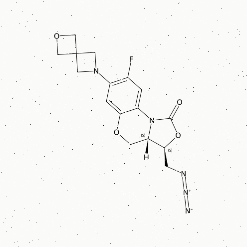 [N-]=[N+]=NC[C@@H]1OC(=O)N2c3cc(F)c(N4CC5(COC5)C4)cc3OC[C@@H]12